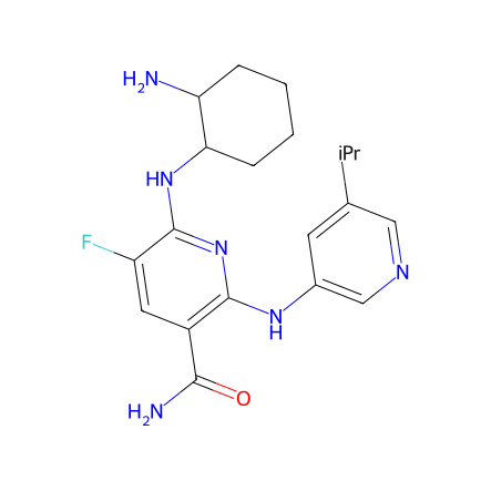 CC(C)c1cncc(Nc2nc(NC3CCCCC3N)c(F)cc2C(N)=O)c1